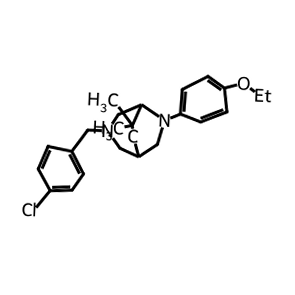 CCOc1ccc(N2CC3CN(Cc4ccc(Cl)cc4)CC2C(C)(C)C3)cc1